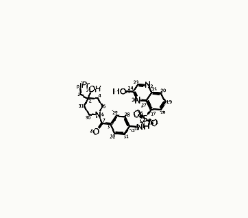 CC(C)CC1(O)CCN(C(=O)c2ccc(NS(=O)(=O)c3cccc4ncc(O)nc34)cc2)CC1